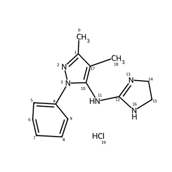 Cc1nn(-c2ccccc2)c(NC2=NCCN2)c1C.Cl